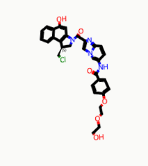 O=C(Nc1ccc2nc(C(=O)N3C[C@@H](CCl)c4c3cc(O)c3ccccc43)cn2c1)c1ccc(OCCOCCO)cc1